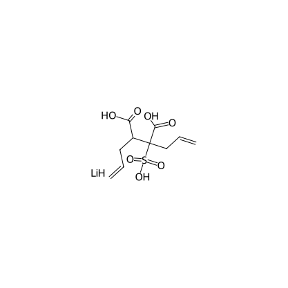 C=CCC(C(=O)O)C(CC=C)(C(=O)O)S(=O)(=O)O.[LiH]